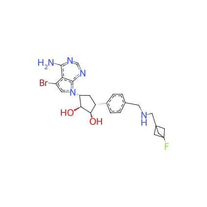 Nc1ncnc2c1c(Br)cn2[C@@H]1C[C@H](c2ccc(CNCC34CC(F)(C3)C4)cc2)[C@@H](O)[C@H]1O